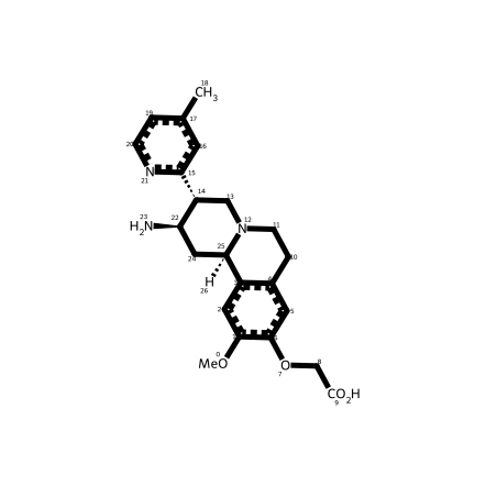 COc1cc2c(cc1OCC(=O)O)CCN1C[C@@H](c3cc(C)ccn3)[C@H](N)C[C@H]21